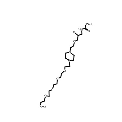 CCCC(C)C(=O)NCC(F)COCCN1CCN(CCOCCOCCOCCOCCNC)CC1